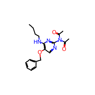 CCCCNc1nc(N(C(C)=O)C(C)=O)ncc1OCc1ccccc1